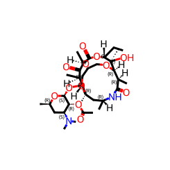 CC[C@H]1OC(=O)[C@H](C)C(=O)[C@H](C)[C@@H](O[C@@H]2O[C@H](C)C[C@H](N(C)C)[C@H]2OC(C)=O)[C@@]2(C)C[C@@H](C)NC(=O)[C@H](C)[C@@H](OCC(=O)CO2)[C@]1(C)O